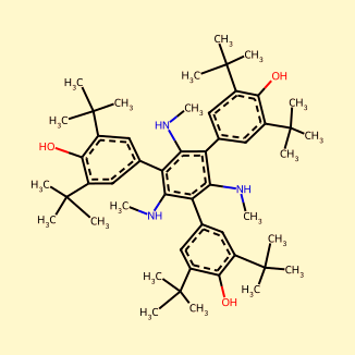 CNc1c(-c2cc(C(C)(C)C)c(O)c(C(C)(C)C)c2)c(NC)c(-c2cc(C(C)(C)C)c(O)c(C(C)(C)C)c2)c(NC)c1-c1cc(C(C)(C)C)c(O)c(C(C)(C)C)c1